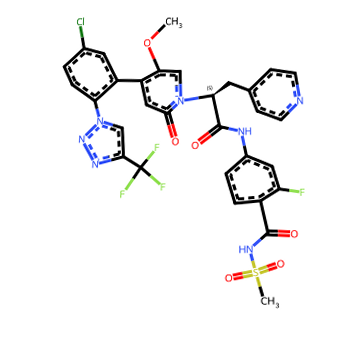 COc1cn([C@@H](Cc2ccncc2)C(=O)Nc2ccc(C(=O)NS(C)(=O)=O)c(F)c2)c(=O)cc1-c1cc(Cl)ccc1-n1cc(C(F)(F)F)nn1